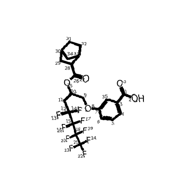 O=C(O)c1cccc(OCC(CC(F)(F)C(F)(F)C(F)(F)C(F)(F)F)OC(=O)C2CC3CCC2C3)c1